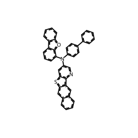 c1ccc(-c2ccc(N(c3cnc4c(c3)sc3cc5ccccc5cc34)c3cccc4c3oc3ccccc34)cc2)cc1